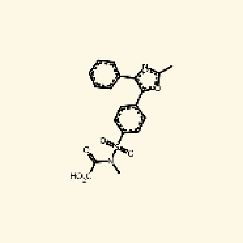 Cc1nc(-c2ccccc2)c(-c2ccc(S(=O)(=O)N(C)C(=O)C(=O)O)cc2)o1